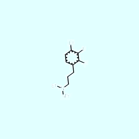 CCCN(CC)CCCc1ccc(CC)c(F)c1F